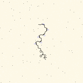 CC/C=C\C/C=C\C/C=C\C/C=C\C/C=C\C/C=C\CCCOCC(=O)OC(C)(C)C